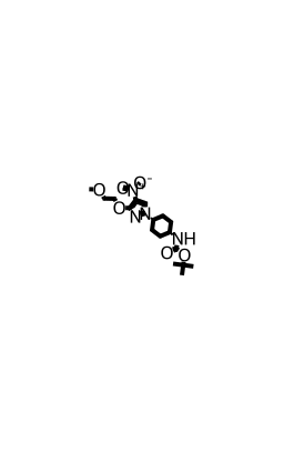 COCCOc1nn([C@H]2CC[C@H](NC(=O)OC(C)(C)C)CC2)cc1[N+](=O)[O-]